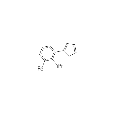 CC(C)c1[c]([Fe])cccc1C1=CC=CC1